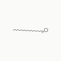 [CH2]CCCCCCCCCCCCCCCCCOC1CC[CH]CC1